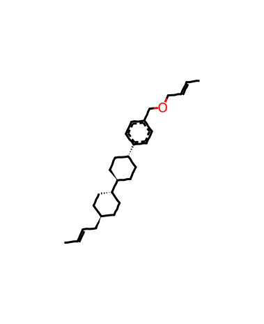 CC=CCOCc1ccc([C@H]2CC[C@H]([C@H]3CC[C@H](CC=CC)CC3)CC2)cc1